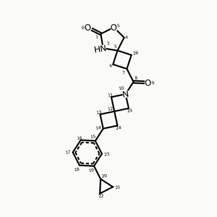 O=C1NC2(CO1)CC(C(=O)N1CC3(CC(c4cccc(C5CC5)c4)C3)C1)C2